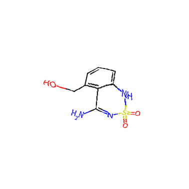 NC1=NS(=O)(=O)Nc2cccc(CO)c21